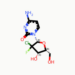 Nc1ccn([C@@H]2O[C@H](CO)[C@H](O)C2(F)Cl)c(=O)n1